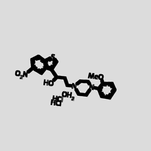 COc1ccccc1N1CCN(CCC(O)c2csc3ccc([N+](=O)[O-])cc23)CC1.Cl.Cl.O